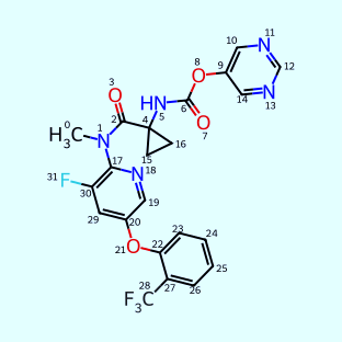 CN(C(=O)C1(NC(=O)Oc2cncnc2)CC1)c1ncc(Oc2ccccc2C(F)(F)F)cc1F